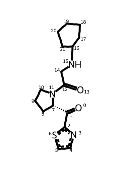 O=C(c1nccs1)[C@@H]1CCCN1C(=O)CNC1CCCCC1